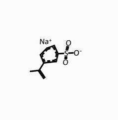 C=C(C)c1cccc(S(=O)(=O)[O-])c1.[Na+]